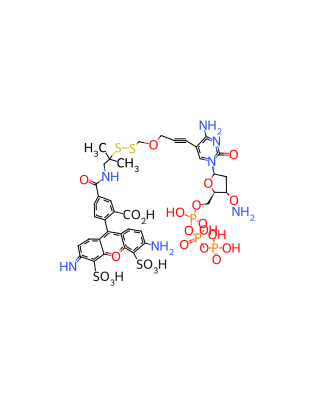 CC(C)(CNC(=O)c1ccc(-c2c3ccc(=N)c(S(=O)(=O)O)c-3oc3c(S(=O)(=O)O)c(N)ccc23)c(C(=O)O)c1)SSCOCC#Cc1cn([C@H]2C[C@@H](ON)[C@@H](COP(=O)(O)OP(=O)(O)OP(=O)(O)O)O2)c(=O)nc1N